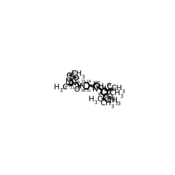 COc1c(C(C)(C)C)cc(-c2nc(C3CCN(C(=O)Cn4cc(C)nc4S(C)(=O)=O)CC3)cs2)cc1C(C)(C)C